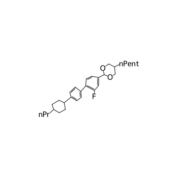 CCCCCC1COC(c2ccc(-c3ccc(C4CCC(CCC)CC4)cc3)c(F)c2)OC1